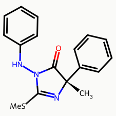 CSC1=N[C@@](C)(c2ccccc2)C(=O)N1Nc1ccccc1